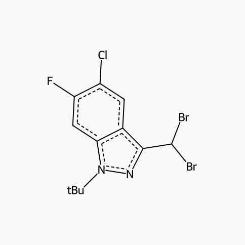 CC(C)(C)n1nc(C(Br)Br)c2cc(Cl)c(F)cc21